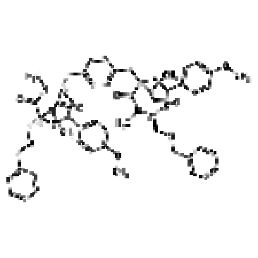 COc1ccc(C2SC3(Cc4ccc(C[C@@]56SC(c7ccc(OC)cc7)S[C@@](COCc7ccccc7)(C(=O)N5C)N(C)C6=O)cc4)C(=O)N(C)[C@@](COCc4ccccc4)(S2)C(=O)N3C)cc1